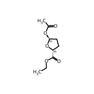 CCOC(=O)[C@H]1CC[C@H](OC(C)=O)O1